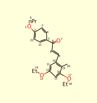 CCCOc1ccc(C(=O)C=Cc2cc(OCC)cc(OCC)c2C)cc1